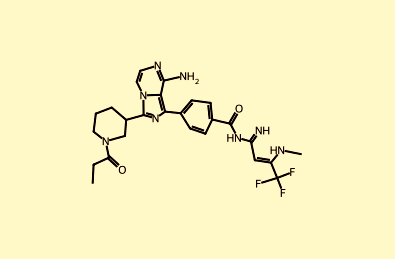 CCC(=O)N1CCCC(c2nc(-c3ccc(C(=O)NC(=N)/C=C(\NC)C(F)(F)F)cc3)c3c(N)nccn23)C1